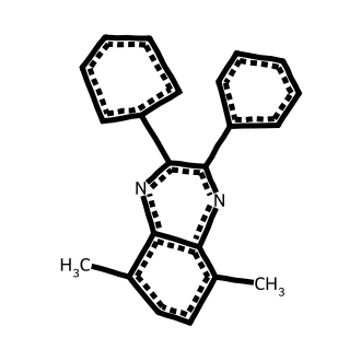 Cc1ccc(C)c2nc(-c3ccccc3)c(-c3ccccc3)nc12